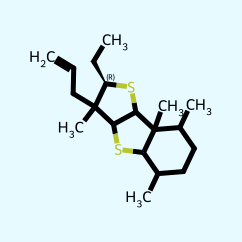 C=CCC1(C)C2SC3C(C)CCC(C)C3(C)C2S[C@@H]1CC